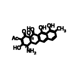 CC(=O)C1=C(O)[C@H](N)C2Cc3cc4ccc(C)c(O)c4c(O)c3C(=O)[C@]2(O)C1=O